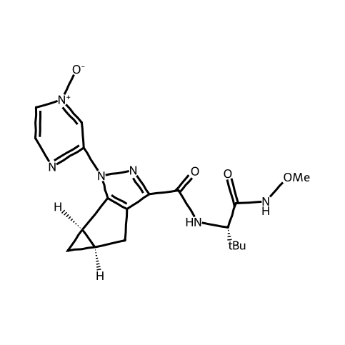 CONC(=O)[C@@H](NC(=O)c1nn(-c2c[n+]([O-])ccn2)c2c1C[C@H]1C[C@@H]21)C(C)(C)C